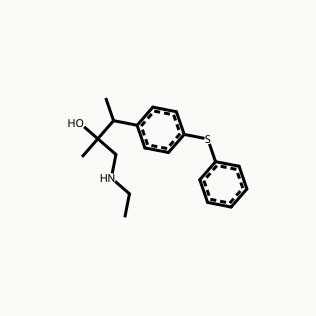 CCNCC(C)(O)C(C)c1ccc(Sc2ccccc2)cc1